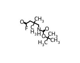 CC(C)(CNC(=O)OC(C)(C)C)CC(=O)F